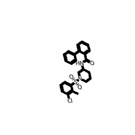 Cc1c(Cl)cccc1S(=O)(=O)N1CCCC(NC(=O)c2ccccc2-c2ccccc2)C1